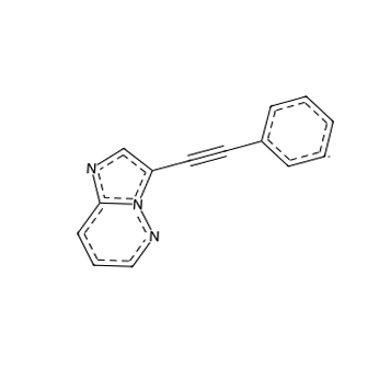 C(#Cc1cnc2cccnn12)c1c[c]ccc1